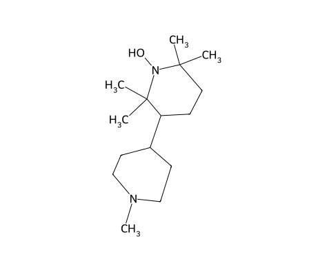 CN1CCC(C2CCC(C)(C)N(O)C2(C)C)CC1